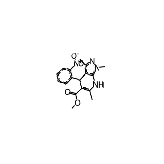 COC(=O)C1=C(C)Nc2c(c(C)nn2C)C1c1ccccc1[N+](=O)[O-]